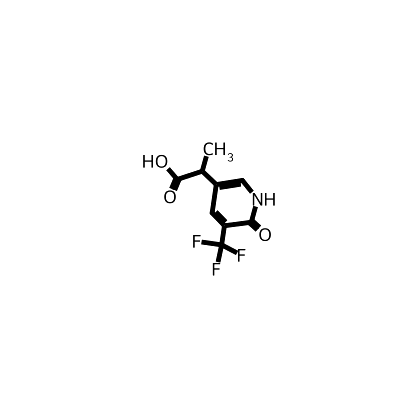 CC(C(=O)O)c1c[nH]c(=O)c(C(F)(F)F)c1